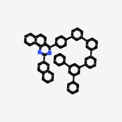 c1ccc(-c2cc(-c3ccccc3)cc(-c3cccc(-c4cccc(-c5cccc(-c6ccc(-c7nc(-c8ccc9ccccc9c8)nc8c7ccc7ccccc78)cc6)c5)c4)c3)c2)cc1